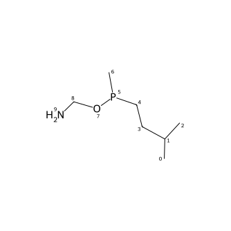 CC(C)CCP(C)OCN